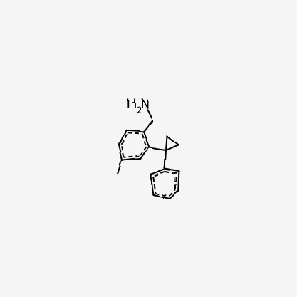 Cc1ccc(CN)c(C2(c3ccccc3)CC2)c1